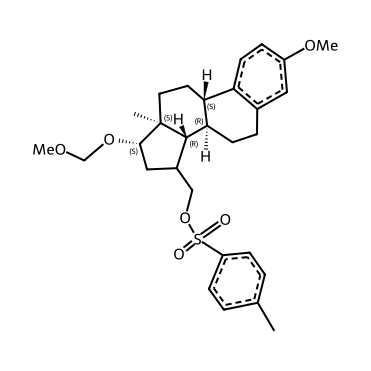 COCO[C@H]1CC(COS(=O)(=O)c2ccc(C)cc2)[C@H]2[C@@H]3CCc4cc(OC)ccc4[C@H]3CC[C@]12C